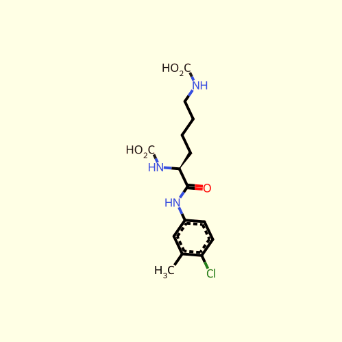 Cc1cc(NC(=O)[C@H](CCCCNC(=O)O)NC(=O)O)ccc1Cl